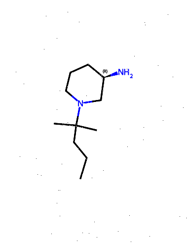 CCCC(C)(C)N1CCC[C@@H](N)C1